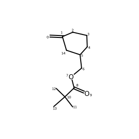 C=C1CCCC(COC(=O)C(C)(C)C)C1